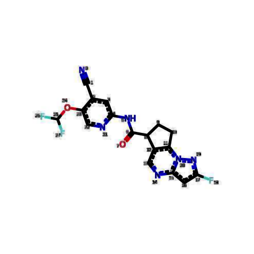 N#Cc1cc(NC(=O)C2CCc3c2cnc2cc(F)nn32)ncc1OC(F)F